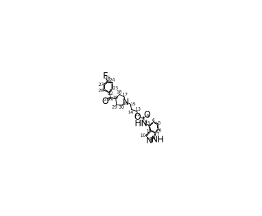 O=C(Nc1cccc2[nH]ncc12)OCCCN1CCC(C(=O)c2ccc(F)cc2)CC1